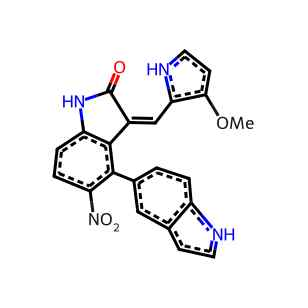 COc1cc[nH]c1C=C1C(=O)Nc2ccc([N+](=O)[O-])c(-c3ccc4[nH]ccc4c3)c21